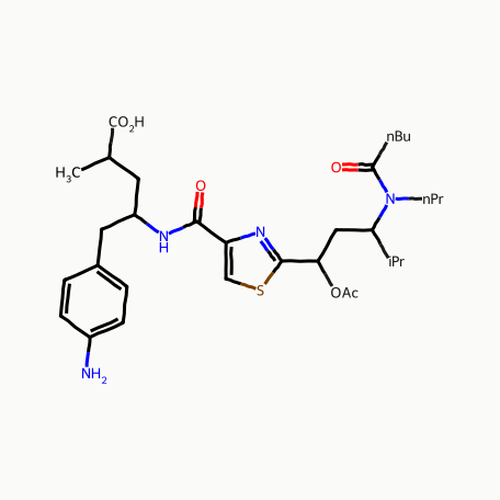 CCCCC(=O)N(CCC)C(CC(OC(C)=O)c1nc(C(=O)NC(Cc2ccc(N)cc2)CC(C)C(=O)O)cs1)C(C)C